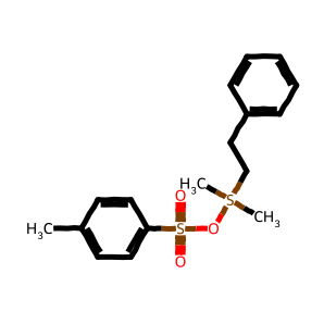 Cc1ccc(S(=O)(=O)OS(C)(C)CCc2ccccc2)cc1